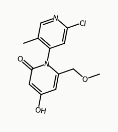 COCc1cc(O)cc(=O)n1-c1cc(Cl)ncc1C